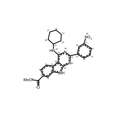 COC(=O)c1ccc2c(c1)[nH]c1nc(-c3cccc([N+](=O)[O-])c3)nc(NC3CCCCC3)c12